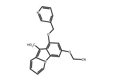 N#CCOc1cc(OCc2cccnc2)c2c(C(=O)O)c3ccccn3c2c1